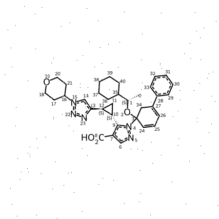 C[C@H](OC1(n2ncc(C(=O)O)c2[C@H]2C[C@@H]2c2cn(C3CCOCC3)nn2)C=CC=C(c2ccccc2)C1)C1CCCCC1